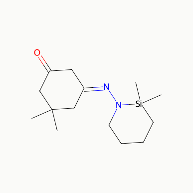 CC1(C)CC(=O)CC(=NN2CCCC[Si]2(C)C)C1